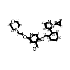 O=Cc1cc(OCCN2CCOCC2)ncc1OCC1CCCCC1c1ccnn1C1CC1